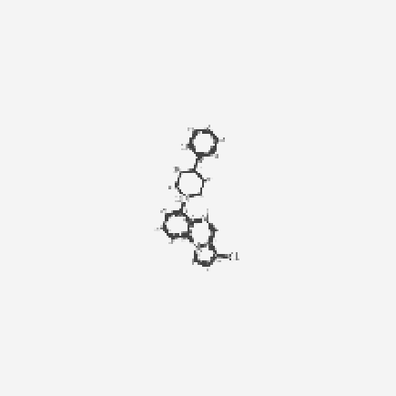 Clc1ccn2c1cnc1c(N3CCC(c4ccccc4)CC3)cccc12